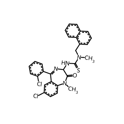 CN(Cc1cccc2ccccc12)C(=S)NC1N=C(c2ccccc2Cl)c2cc(Cl)ccc2N(C)C1=O